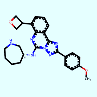 COc1ccc(-c2nc3c4cccc(C5COC5)c4nc(N[C@@H]4CCCCNC4)n3n2)cc1